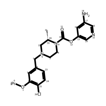 CC(C)Oc1cc(CN2CCN(C(=O)Oc3cncc(N)c3)[C@@H](C)C2)ccc1Cl